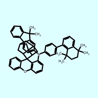 CC1(C)CCC(C)(C)c2c(-c3ccc(N(c4ccc5c(c4)C(C)(C)c4ccccc4-5)c4cccc5c4C4(c6ccccc6O5)C5CC6CC7CC4C75C6)cc3)cccc21